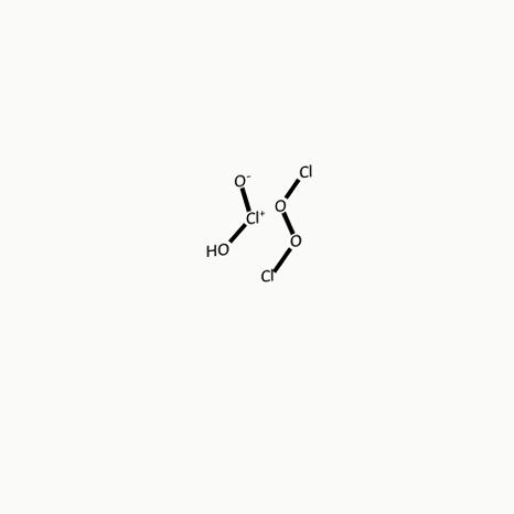 ClOOCl.[O-][Cl+]O